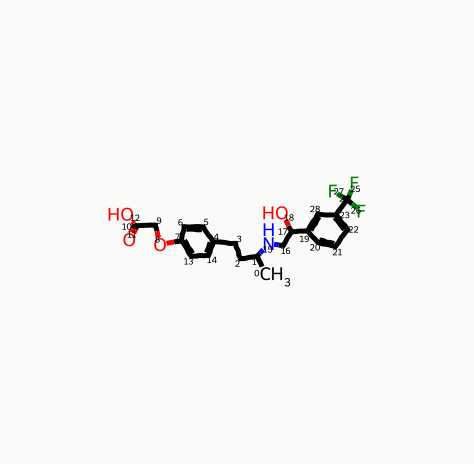 CC(CCc1ccc(OCC(=O)O)cc1)NCC(O)c1cccc(C(F)(F)F)c1